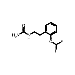 NC(=O)NCCc1ccccc1OC(F)F